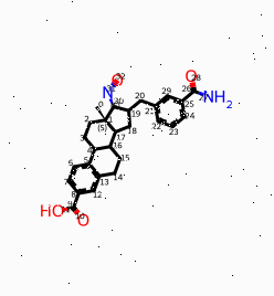 C[C@]12CCC3c4ccc(C(=O)O)cc4CCC3C1CC(Cc1cccc(C(N)=O)c1)[C@@H]2N=O